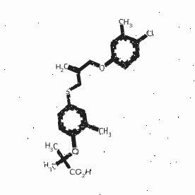 C=C(COc1ccc(Cl)c(C)c1)CSc1ccc(OC(C)(C)C(=O)O)c(C)c1